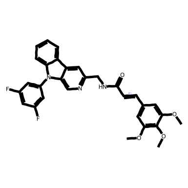 COc1cc(/C=C/C(=O)NCc2cc3c4ccccc4n(-c4cc(F)cc(F)c4)c3cn2)cc(OC)c1OC